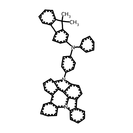 CC1(C)c2ccccc2-c2ccc(N(c3ccccc3)c3ccc(-n4c5cccc6c7ccccc7n7c8ccccc8c8ccc4c(c65)c87)cc3)cc21